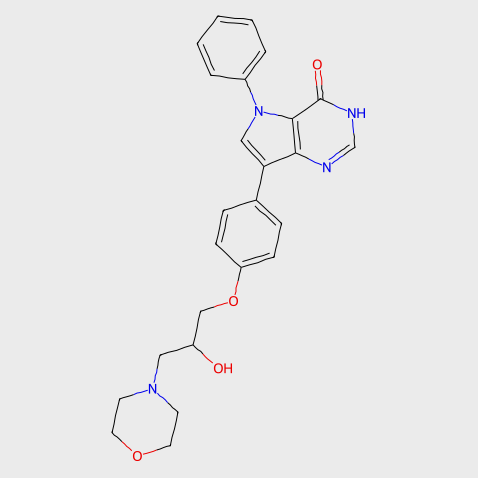 O=c1[nH]cnc2c(-c3ccc(OCC(O)CN4CCOCC4)cc3)cn(-c3ccccc3)c12